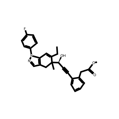 CCC1=Cc2c(cnn2-c2ccc(F)cc2)CC1(C)[C@@H](O)C#Cc1ccccc1CC(=O)OC